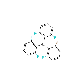 Fc1cccc(F)c1B(c1c(F)cccc1F)c1c(F)cccc1Br